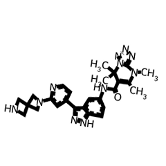 CC1=C(C(=O)Nc2ccc3[nH]nc(-c4ccnc(N5CC6(CNC6)C5)c4)c3c2)C(C)(C)n2nnnc2N1C